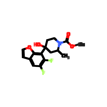 CC1CC(O)(c2c(F)c(F)cc3ccoc23)CCN1C(=O)OC(C)(C)C